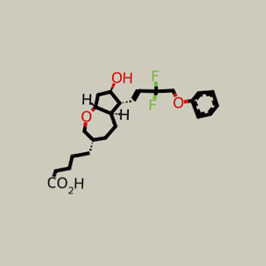 O=C(O)CCCC[C@H]1CC[C@@H]2[C@@H](/C=C/C(F)(F)COc3ccccc3)[C@H](O)C[C@@H]2OC1